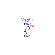 COc1ccc(Cc2ccc(O)c(C(=O)Nc3cc(C(F)(F)F)cc(C(F)(F)F)c3)c2)cc1